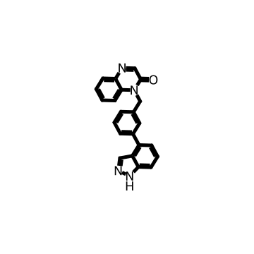 O=c1cnc2ccccc2n1Cc1cccc(-c2cccc3[nH]ncc23)c1